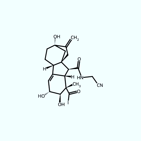 C=C1C[C@]23C[C@@]1(O)CC[C@H]2C1=C[C@@H](O)[C@H](O)[C@@](C)(C(=O)I)[C@H]1[C@@H]3C(=O)NCC#N